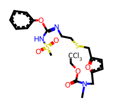 CN(Cc1ccc(CSCCN=C(NS(C)(=O)=O)Oc2ccccc2)o1)C(=O)OCC(Cl)(Cl)Cl